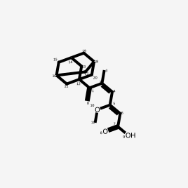 C=C(/C(C)=C\C(=C\C(=O)O)OC)C12CC3CC(CC(C3)C1)C2